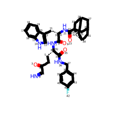 N=CC(=O)CC[C@H](NC(=O)[C@H](Cc1c[nH]c2ccccc12)NC(=O)C12CC3CC(CC(C3)C1)C2)C(=O)NCc1ccc(F)cc1